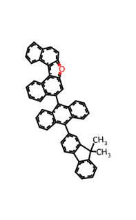 CC1(C)c2ccccc2-c2ccc(-c3c4ccccc4c(-c4cc5oc6ccc7ccccc7c6c5c5ccccc45)c4ccccc34)cc21